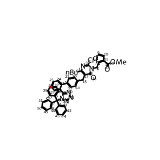 CCCCc1nc(C)n(Cc2occc2C(=O)OC)c(=O)c1Cc1ccc(-c2ccccc2-c2nnnn2C(c2ccccc2)(c2ccccc2)c2ccccc2)cc1